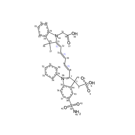 CC1(CS(=O)(=O)O)C(/C=C/C=C/C=C2/N(CC(=O)O)c3ccccc3C2(C)C)=[N+](c2ccccc2)c2ccc(S(N)(=O)=O)cc21